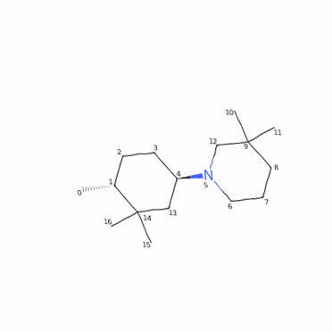 C[C@@H]1CC[C@@H](N2CCCC(C)(C)C2)CC1(C)C